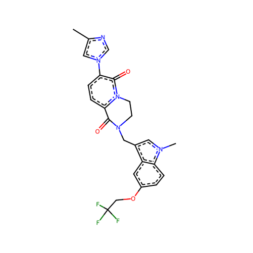 Cc1cn(-c2ccc3n(c2=O)CCN(Cc2cn(C)c4ccc(OCC(F)(F)F)cc24)C3=O)cn1